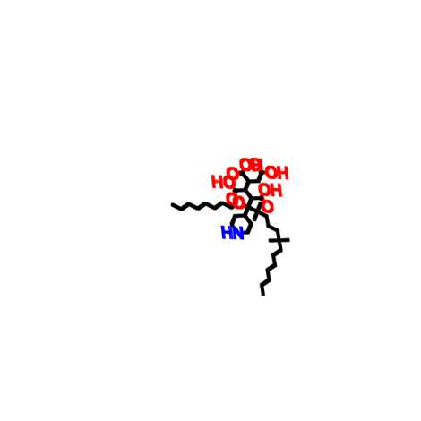 CCCCCCCCOC(C1CCNCC1)(C(C(=O)O)C(C(=O)O)C(CC(=O)O)C(=O)O)C(C)(C)CCCC(C)(C)CCCCCCC